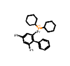 C1CCC(PC2CCCCC2)CC1.CC(C)c1cc(C(C)C)c(-c2ccccc2)c(C(C)C)c1